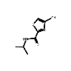 CC(C)NC(=O)c1nc(O)cs1